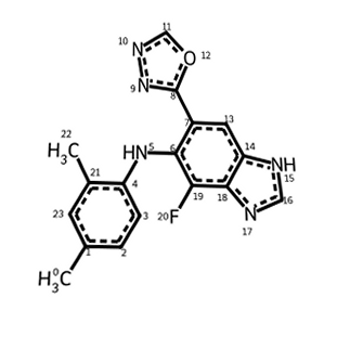 Cc1ccc(Nc2c(-c3nnco3)cc3[nH]cnc3c2F)c(C)c1